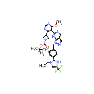 CCN1C=C(C(F)(F)F)NC1c1ccc(Cn2ncc3cnc(-c4c(OC)ncnc4C4CN(C(=O)OC(C)(C)C)C4)nc32)cc1